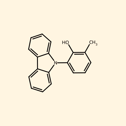 Cc1cccc(-n2c3ccccc3c3ccccc32)c1O